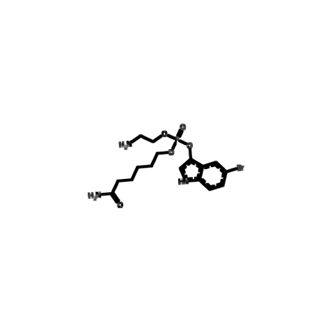 NCCOP(=O)(OCCCCCC(N)=O)Oc1c[nH]c2ccc(Br)cc12